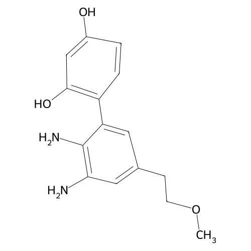 COCCc1cc(N)c(N)c(-c2ccc(O)cc2O)c1